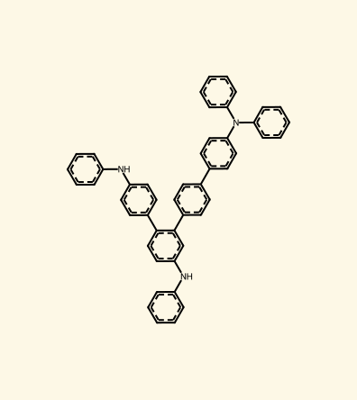 c1ccc(Nc2ccc(-c3ccc(Nc4ccccc4)cc3-c3ccc(-c4ccc(N(c5ccccc5)c5ccccc5)cc4)cc3)cc2)cc1